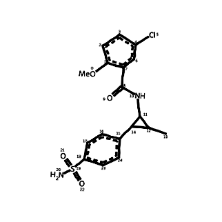 COc1ccc(Cl)cc1C(=O)NC1C(C)C1c1ccc(S(N)(=O)=O)cc1